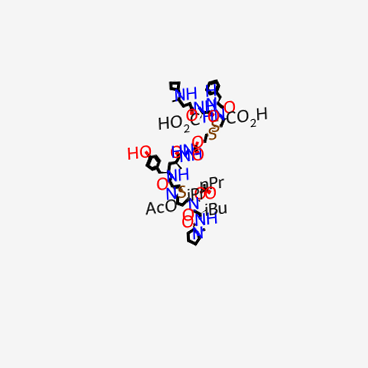 CCCC(=O)OCN(C(=O)[C@@H](NC(=O)[C@H]1CCCCN1C)C(C)CC)[C@H](C[C@H](OC(C)=O)c1nc(C(=O)N[C@@H](Cc2ccc(O)cc2)C[C@H](C)C(=O)NNC(=O)OCCSSC[C@H](NC(=O)[C@H](Cc2ccccc2)NC(=O)[C@H](CC(=O)O)NC(=O)CC[C@@H](C)NC2CCC2)C(=O)O)cs1)C(C)C